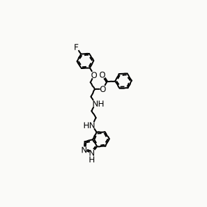 O=C(OC(CNCCNc1cccc2[nH]ncc12)COc1ccc(F)cc1)c1ccccc1